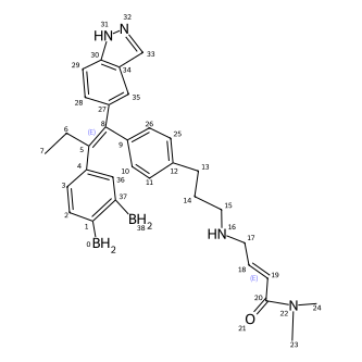 Bc1ccc(/C(CC)=C(\c2ccc(CCCNC/C=C/C(=O)N(C)C)cc2)c2ccc3[nH]ncc3c2)cc1B